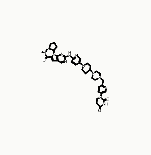 CN(C)C(=O)c1cc2cnc(Nc3ccc(N4CCC(N5CCN(Cc6ccc(N7CCC(=O)NC7=O)cn6)CC5)CC4)cn3)nc2n1C1CCCC1